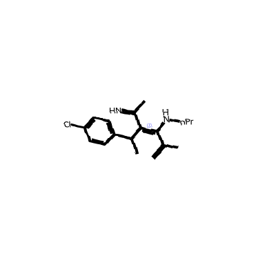 C=C(C)/C(NCCC)=C(/C(C)=N)C(C)c1ccc(Cl)cc1